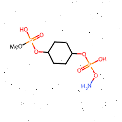 COP(=O)(O)OC1CCC(OP(=O)(O)ON)CC1